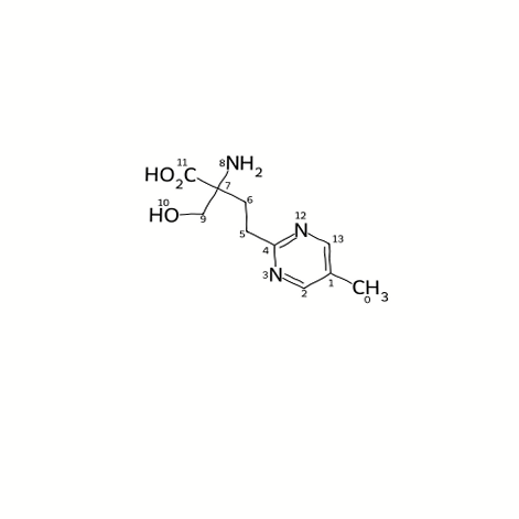 Cc1cnc(CCC(N)(CO)C(=O)O)nc1